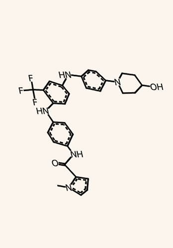 Cn1cccc1C(=O)Nc1ccc(Nc2ccc(Nc3ccc(N4CCC(O)CC4)cc3)cc2C(F)(F)F)cc1